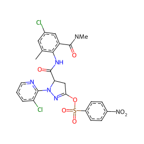 CNC(=O)c1cc(Cl)cc(C)c1NC(=O)C1CC(OS(=O)(=O)c2ccc([N+](=O)[O-])cc2)=NN1c1ncccc1Cl